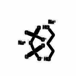 O=S(=O)([O-])OS(=O)(=O)[O-].OCCCO.[Na+].[Na+]